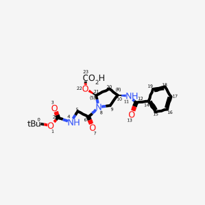 CC(C)(C)OC(=O)NCC(=O)N1C[C@H](NC(=O)c2ccccc2)C[C@@H]1OC(=O)O